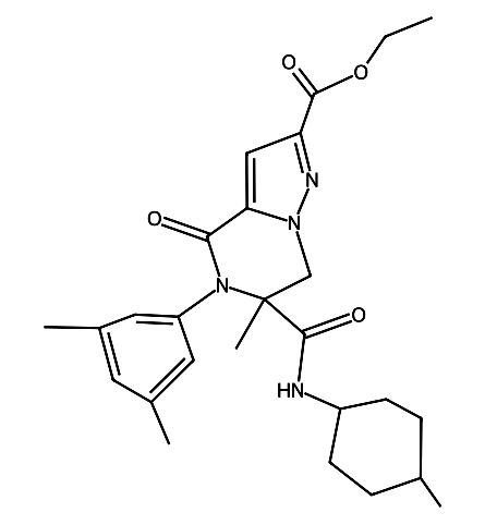 CCOC(=O)c1cc2n(n1)CC(C)(C(=O)NC1CCC(C)CC1)N(c1cc(C)cc(C)c1)C2=O